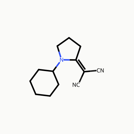 N#CC(C#N)=C1CCCN1C1CCCCC1